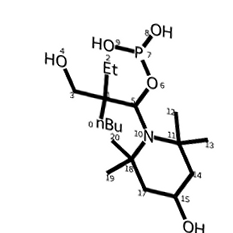 CCCCC(CC)(CO)C(OP(O)O)N1C(C)(C)CC(O)CC1(C)C